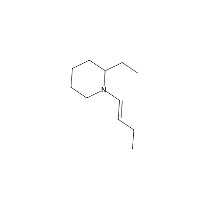 CCC=CN1CCCCC1CC